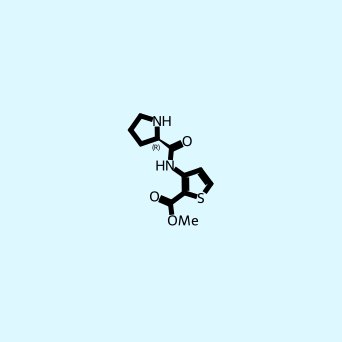 COC(=O)c1sccc1NC(=O)[C@H]1CCCN1